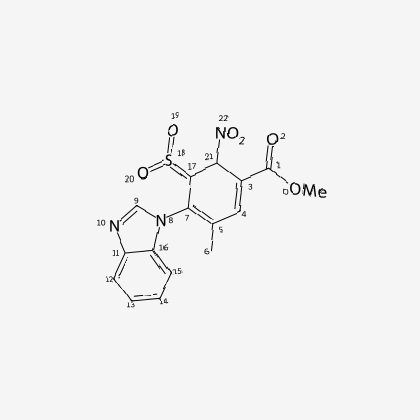 COC(=O)C1=CC(C)=C(n2cnc3ccccc32)C(=S(=O)=O)C1[N+](=O)[O-]